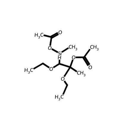 CCOC([SiH](C)OC(C)=O)C(C)(OCC)OC(C)=O